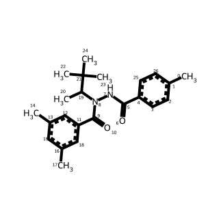 Cc1ccc(C(=O)NN(C(=O)c2cc(C)cc(C)c2)C(C)C(C)(C)C)cc1